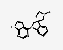 CCCN1CC[C@@]2(C1)CN(c1ncnc3[nH]ccc13)c1ccccc12